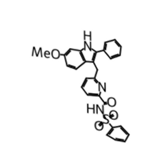 COc1ccc2c(Cc3cccc(C(=O)NS(=O)(=O)c4ccccc4)n3)c(-c3ccccc3)[nH]c2c1